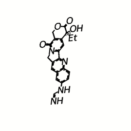 CC[C@@]1(O)C(=O)OCc2c1cc1n(c2=O)Cc2cc3cc(NC=N)ccc3nc2-1